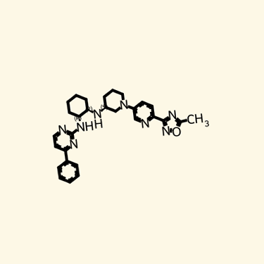 Cc1nc(-c2ccc(N3CCC[C@H](N[C@@H]4CCCC[C@H]4Nc4nccc(-c5ccccc5)n4)C3)cn2)no1